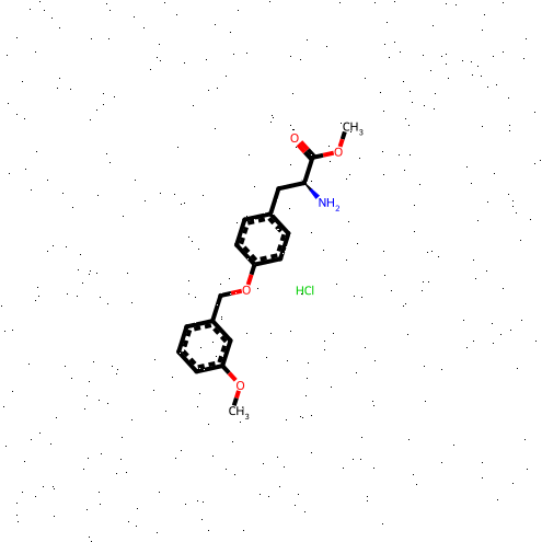 COC(=O)[C@@H](N)Cc1ccc(OCc2cccc(OC)c2)cc1.Cl